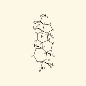 CC(=O)[C@H]1CC[C@H]2[C@@H]3CC[C@@H]4C[C@](C)(O)CCC[C@@H]4[C@H]3CC[C@]12C